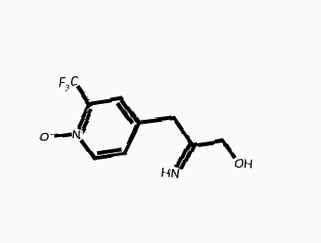 N=C(CO)Cc1cc[n+]([O-])c(C(F)(F)F)c1